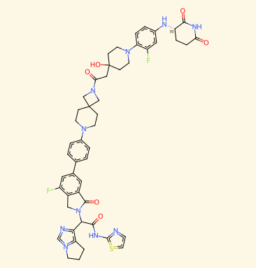 O=C1CC[C@H](Nc2ccc(N3CCC(O)(CC(=O)N4CC5(CCN(c6ccc(-c7cc(F)c8c(c7)C(=O)N(C(C(=O)Nc7nccs7)c7ncn9c7CCC9)C8)cc6)CC5)C4)CC3)c(F)c2)C(=O)N1